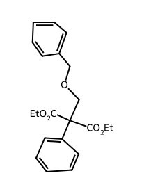 CCOC(=O)C(COCc1ccccc1)(C(=O)OCC)c1ccccc1